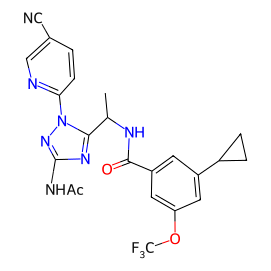 CC(=O)Nc1nc(C(C)NC(=O)c2cc(OC(F)(F)F)cc(C3CC3)c2)n(-c2ccc(C#N)cn2)n1